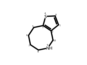 c1cc2c(s1)CCCCNC2